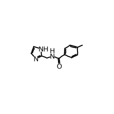 Cc1ccc(C(=O)NCc2ncc[nH]2)cc1